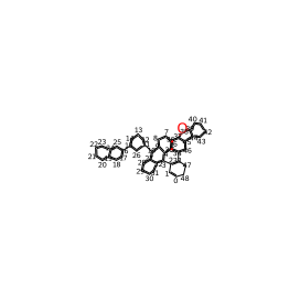 C1=CC(c2c3ccccc3c(-c3cccc(-c4ccc5ccccc5c4)c3)c3ccccc23)=C(c2ccc3oc4ccccc4c3c2)CC1